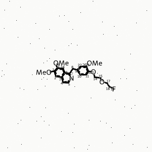 COc1cc2ccnc(Cc3ccc(OCCOCCF)c(OC)c3)c2cc1OC